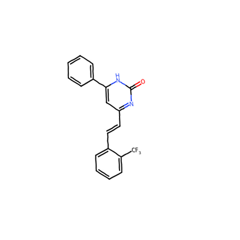 O=c1nc(C=Cc2ccccc2C(F)(F)F)cc(-c2ccccc2)[nH]1